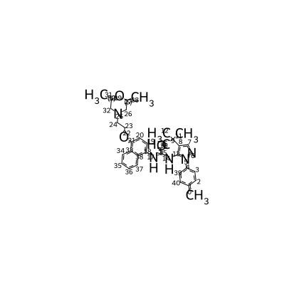 Cc1ccc(-n2ncc(C(C)(C)C)c2NC(=O)Nc2ccc(OCCN3C[C@H](C)O[C@@H](C)C3)c3ccccc23)cc1